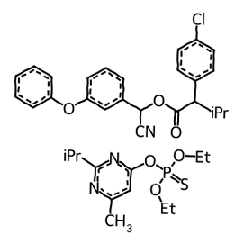 CC(C)C(C(=O)OC(C#N)c1cccc(Oc2ccccc2)c1)c1ccc(Cl)cc1.CCOP(=S)(OCC)Oc1cc(C)nc(C(C)C)n1